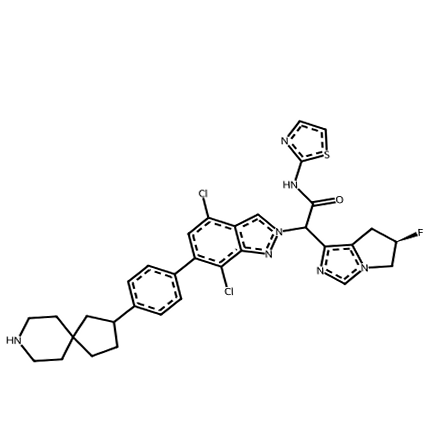 O=C(Nc1nccs1)C(c1ncn2c1C[C@@H](F)C2)n1cc2c(Cl)cc(-c3ccc(C4CCC5(CCNCC5)C4)cc3)c(Cl)c2n1